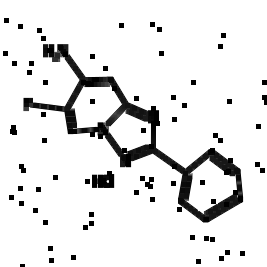 Cl.Nc1cc2nc(-c3ccccc3)nn2cc1F